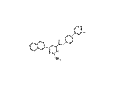 Cc1cc(-c2ccc(CNc3cc(-c4ccc5ccccc5c4)nc(N)n3)cc2)ccn1